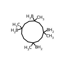 BC1(C)CCCC(B)(C)CCC(B)(C)CCC(B)(C)CC1